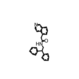 O=C(Cc1cccc2cnccc12)NCC(c1ccccc1)c1ccccc1